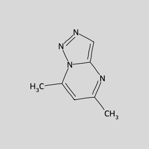 Cc1cc(C)n2nncc2n1